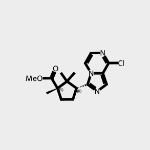 COC(=O)[C@@]1(C)CC[C@@H](c2ncc3c(Cl)nccn23)C1(C)C